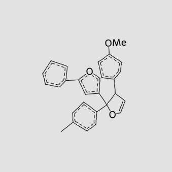 COc1ccc(C2C=COC2(c2ccc(C)cc2)c2coc(-c3ccccc3)c2)cc1